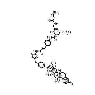 C[C@]12C=CC(=O)C=C1CC[C@@H]1[C@@H]2[C@@H](O)C[C@@]2(C)[C@H]1C[C@H]1O[C@@H](c3ccc(Cc4cnc(NC(=O)OCc5ccc(NC(=O)[C@H](CCC(=O)O)NC(=O)CNC(=O)CON)cc5)s4)cc3)O[C@]12C(=O)CO